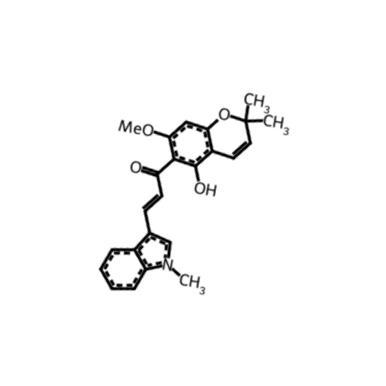 COc1cc2c(c(O)c1C(=O)/C=C/c1cn(C)c3ccccc13)C=CC(C)(C)O2